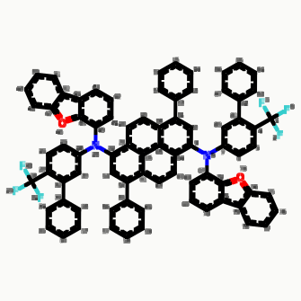 FC(F)(F)c1ccc(N(c2cc(-c3ccccc3)c3ccc4c(N(c5ccc(C(F)(F)F)c(-c6ccccc6)c5)c5cccc6c5oc5ccccc56)cc(-c5ccccc5)c5ccc2c3c54)c2cccc3c2oc2ccccc23)cc1-c1ccccc1